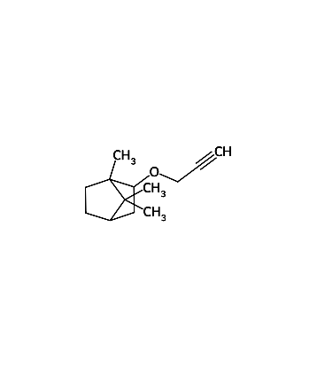 C#CCOC1CC2CCC1(C)C2(C)C